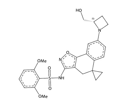 COc1cccc(OC)c1S(=O)(=O)Nc1noc2c1CC1(CC1)c1ccc(N3CC[C@H]3CO)cc1-2